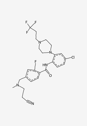 CN(CCC#N)Cc1ccc(C(=O)Nc2ccc(Cl)cc2N2CCN(CCC(F)(F)F)CC2)c(F)c1